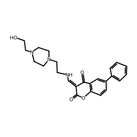 O=C1Oc2ccc(-c3ccccc3)cc2C(=O)C1=CNCCN1CCN(CCO)CC1